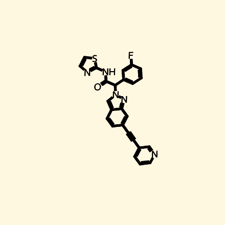 O=C(Nc1nccs1)C(c1cccc(F)c1)n1cc2ccc(C#Cc3cccnc3)cc2n1